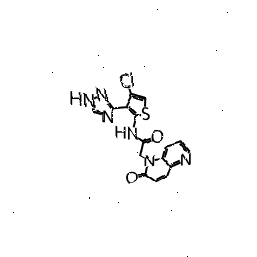 O=C(Cn1c(=O)ccc2ncccc21)Nc1scc(Cl)c1-c1nc[nH]n1